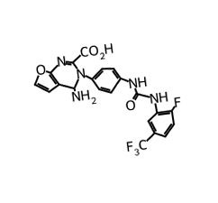 NC1c2ccoc2N=C(C(=O)O)N1c1ccc(NC(=O)Nc2cc(C(F)(F)F)ccc2F)cc1